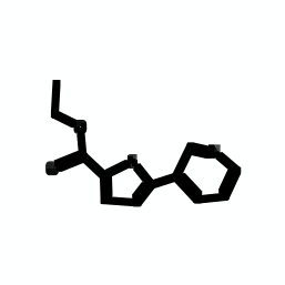 CCOC(=O)c1ccc(-c2cccnc2)s1